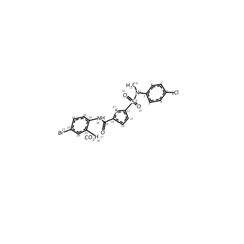 CN(c1ccc(Cl)cc1)S(=O)(=O)c1ccc(C(=O)Nc2ccc(Br)cc2C(=O)O)s1